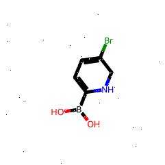 OB(O)C1=CC=C(Br)CN1